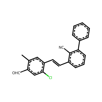 Cc1cc(/C=C/c2cccc(-c3ccccc3)c2C#N)c(Cl)cc1C=O